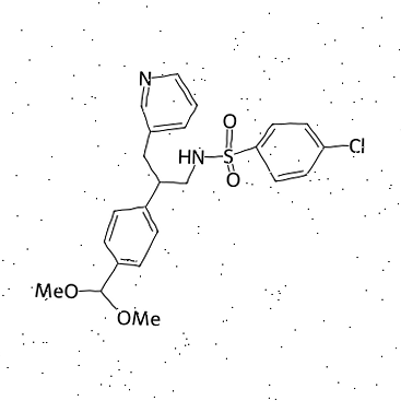 COC(OC)c1ccc(C(CNS(=O)(=O)c2ccc(Cl)cc2)Cc2cccnc2)cc1